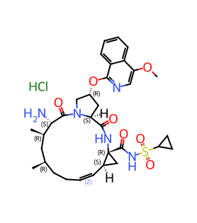 COc1cnc(O[C@@H]2C[C@H]3C(=O)N[C@]4(C(=O)NS(=O)(=O)C5CC5)C[C@H]4/C=C\CC[C@@H](C)C[C@@H](C)[C@H](N)C(=O)N3C2)c2ccccc12.Cl